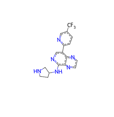 FC(F)(F)c1ccc(-c2cnc(NC3CCNC3)c3nccnc23)nc1